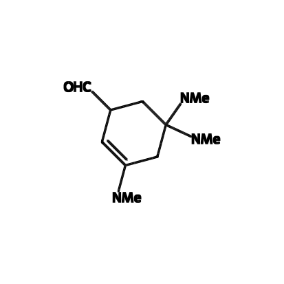 CNC1=CC(C=O)CC(NC)(NC)C1